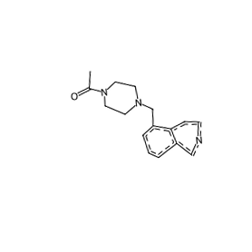 CC(=O)N1CCN(Cc2cccc3cnccc23)CC1